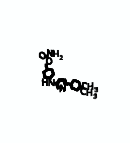 CC1(C)CCC(c2ccc(NC3CCC(COC(N)=O)CC3)cn2)CC1